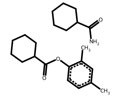 Cc1ccc(OC(=O)C2CCCCC2)c(C)c1.NC(=O)C1CCCCC1